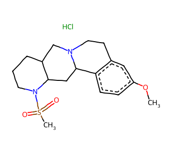 COc1ccc2c(c1)CCN1CC3CCCN(S(C)(=O)=O)C3CC21.Cl